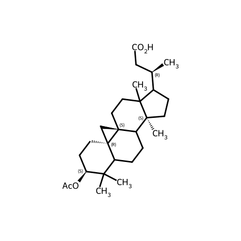 CC(=O)O[C@H]1CC[C@]23C[C@]24CCC2(C)C([C@H](C)CC(=O)O)CC[C@@]2(C)C4CCC3C1(C)C